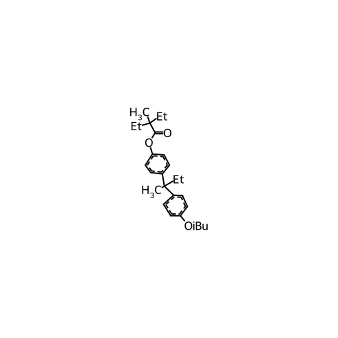 CCC(C)(CC)C(=O)Oc1ccc(C(C)(CC)c2ccc(OCC(C)C)cc2)cc1